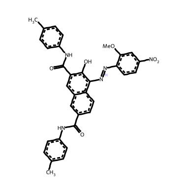 COc1cc([N+](=O)[O-])ccc1/N=N/c1c(O)c(C(=O)Nc2ccc(C)cc2)cc2cc(C(=O)Nc3ccc(C)cc3)ccc12